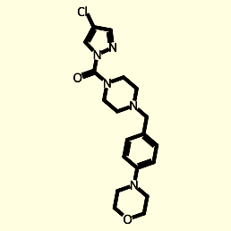 O=C(N1CCN(Cc2ccc(N3CCOCC3)cc2)CC1)n1cc(Cl)cn1